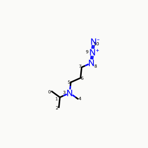 CC(C)N(C)CCCN=[N+]=[N-]